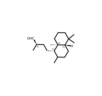 CC1CC[C@H]2C(C)(C)CCC[C@]2(C)[C@H]1CC[C@@H](C)C=O